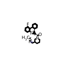 CS/N=C\C1CCCN(C(=O)[C@@H]2C[C@H]2c2ccccc2-c2c(F)cccc2F)C1